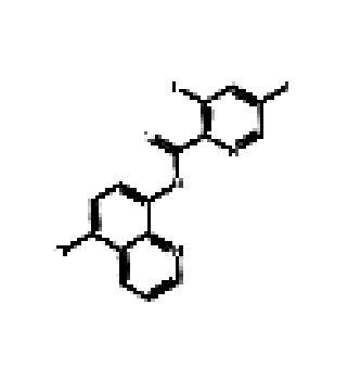 O=C(Nc1ccc(Cl)c2cccnc12)c1ncc(F)cc1F